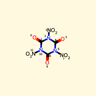 O=c1n([N+](=O)[O-])c(=O)n([N+](=O)[O-])c(=O)n1[N+](=O)[O-]